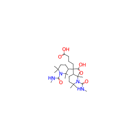 CNC(=O)N1C(C)(C)CCC(C(CCCC(=O)O)(C(=O)O)C2CCC(C)(C)N(C(=O)NC)C2(C)C)C1(C)C